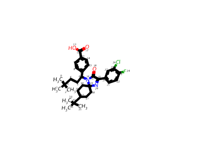 CC(C)(C)CCC(c1ccc(C(=O)O)cc1)N1C(=O)C(c2ccc(F)c(Cl)c2)=NC12CCC(C(C)(C)C)CC2